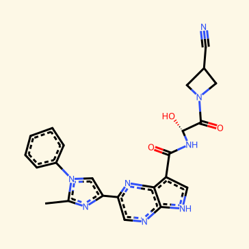 Cc1nc(-c2cnc3[nH]cc(C(=O)N[C@H](O)C(=O)N4CC(C#N)C4)c3n2)cn1-c1ccccc1